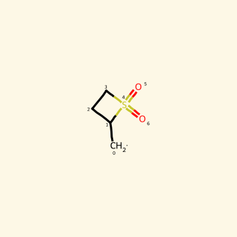 [CH2]C1CCS1(=O)=O